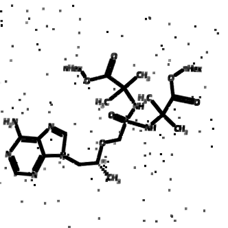 CCCCCCOC(=O)C(C)(C)NP(=O)(CO[C@H](C)Cn1cnc2c(N)ncnc21)NC(C)(C)C(=O)OCCCCCC